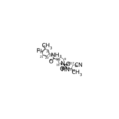 Cc1cc(NC(=O)[C@H]2CCN(S(=O)(=O)NC(C)CC#N)C2)ccc1F